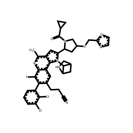 Cc1nc2c(F)c(-c3cccc(Cl)c3Cl)c(CCC#N)cc2c2c1cc(C1CC(OCc3ncco3)CN1C(=O)C1CC1)n2C1C2CNC1C2